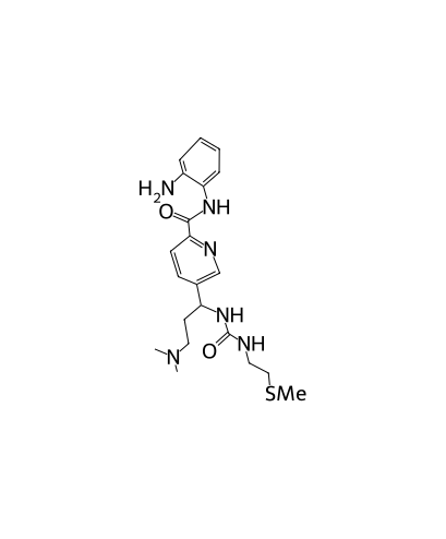 CSCCNC(=O)NC(CCN(C)C)c1ccc(C(=O)Nc2ccccc2N)nc1